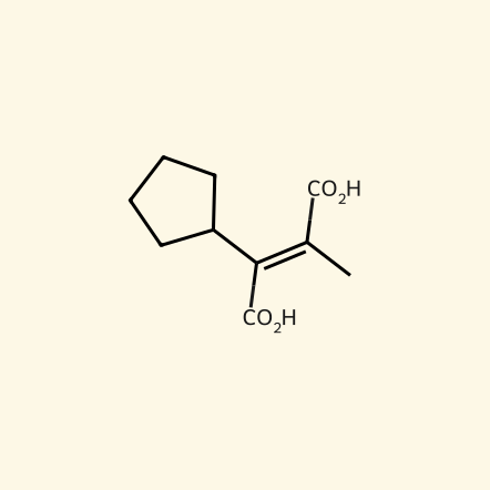 C/C(C(=O)O)=C(\C(=O)O)C1CCCC1